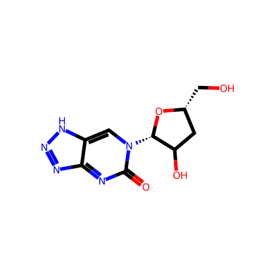 O=c1nc2nn[nH]c2cn1[C@@H]1O[C@H](CO)CC1O